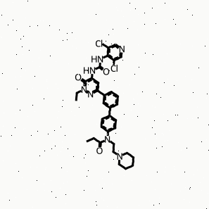 CCC(=O)N(CCN1CCCCC1)c1ccc(-c2cccc(-c3cc(NC(=O)Nc4c(Cl)cncc4Cl)c(=O)n(CC)n3)c2)cc1